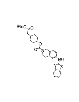 COC(=O)C[C@H]1CC[C@H](OC(=O)N2CCc3cc(Nc4nc5ccccc5s4)ccc3C2)CC1